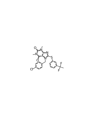 Cn1c(=O)c2c(nc(Sc3cccc(C(C)(F)F)c3)n2Cc2ccc(Cl)cc2)n(C)c1=O